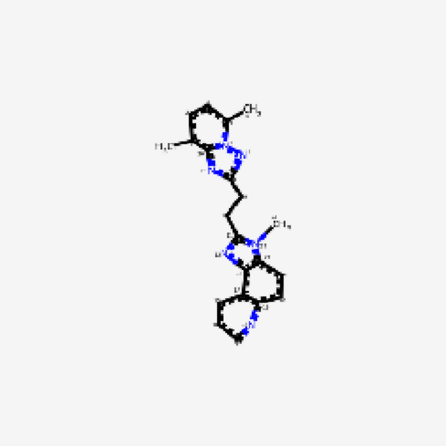 Cc1ccc(C)n2nc(CCc3nc4c5cccnc5ccc4n3C)nc12